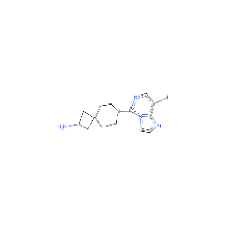 NC1CC2(CCN(c3ncc(I)c4nccn34)CC2)C1